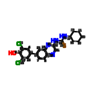 Oc1c(Cl)cc(-c2ccc3ncc(NC(=S)NC4CCCCC4)nc3c2)cc1Cl